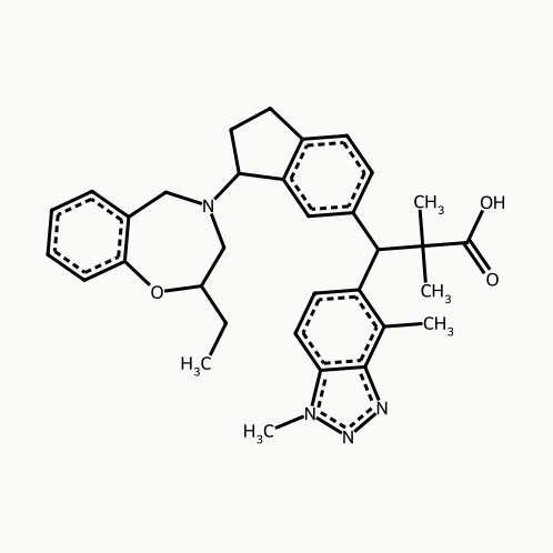 CCC1CN(C2CCc3ccc(C(c4ccc5c(nnn5C)c4C)C(C)(C)C(=O)O)cc32)Cc2ccccc2O1